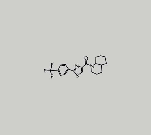 O=C(c1csc(-c2ccc(C(F)(F)F)cc2)n1)N1CCCC2CCCCC21